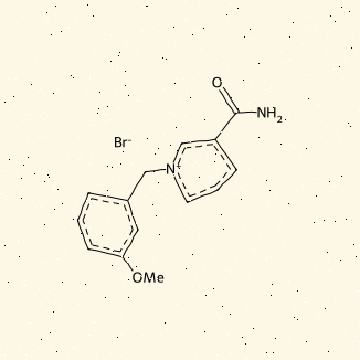 COc1cccc(C[n+]2cccc(C(N)=O)c2)c1.[Br-]